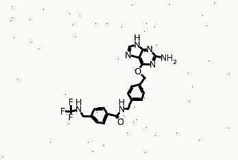 Nc1nc(OCc2ccc(CNC(=O)c3ccc(CNC(F)(F)F)cc3)cc2)c2nc[nH]c2n1